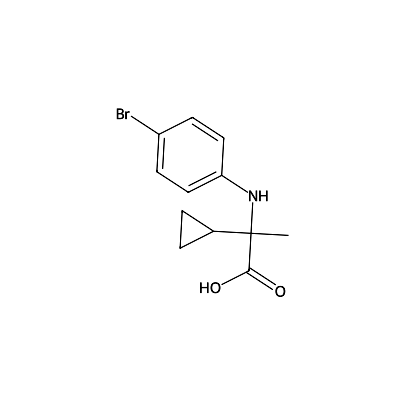 CC(Nc1ccc(Br)cc1)(C(=O)O)C1CC1